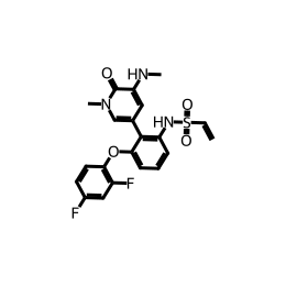 C=CS(=O)(=O)Nc1cccc(Oc2ccc(F)cc2F)c1-c1cc(NC)c(=O)n(C)c1